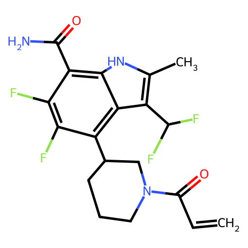 C=CC(=O)N1CCCC(c2c(F)c(F)c(C(N)=O)c3[nH]c(C)c(C(F)F)c23)C1